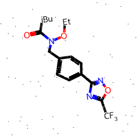 CCON(Cc1ccc(-c2noc(C(F)(F)F)n2)cc1)C(=O)C(C)CC